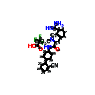 CCOC(=O)N(CC)[C@@H](Cc1cccc(C(=N)N)c1)C(=O)Nc1ccc(-c2ccccc2C#N)cc1.O=C(O)C(F)(F)F